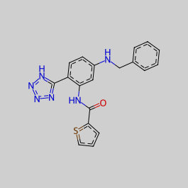 O=C(Nc1cc(NCc2ccccc2)ccc1-c1nnn[nH]1)c1cccs1